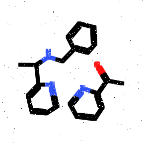 CC(=O)c1ccccn1.CC(NCc1ccccc1)c1ccccn1